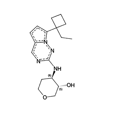 CCC1(c2ccc3cnc(N[C@@H]4CCOC[C@H]4O)nn23)CCC1